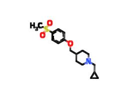 CS(=O)(=O)c1ccc(OCC2CCN(CC3CC3)CC2)cc1